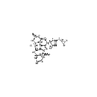 COc1cc(C(O)c2cn(CC3CC3)nc2C)n(-c2ccc(F)cc2[C@@H](C)OCc2ccccc2)n1